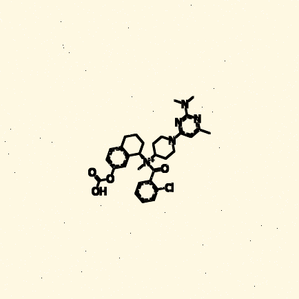 Cc1cc(N2CCC([N+](C)(C(=O)c3ccccc3Cl)[C@@H]3CCCc4ccc(OC(=O)O)cc43)CC2)nc(N(C)C)n1